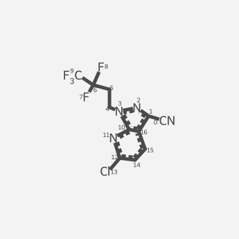 N#Cc1nn(CCC(F)(F)C(F)(F)F)c2nc(Cl)ccc12